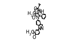 Cn1cc(-n2ncc3cc(N4C(=O)C(C)(C)[C@@H](NC(=O)C5CC5)[C@@H]4c4ccccc4)ccc32)ccc1=O